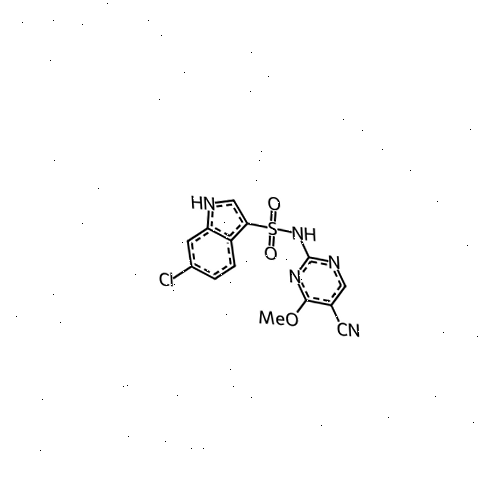 COc1nc(NS(=O)(=O)c2c[nH]c3cc(Cl)ccc23)ncc1C#N